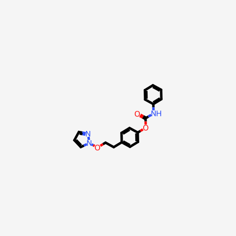 O=C(Nc1ccccc1)Oc1ccc(CCOn2cccn2)cc1